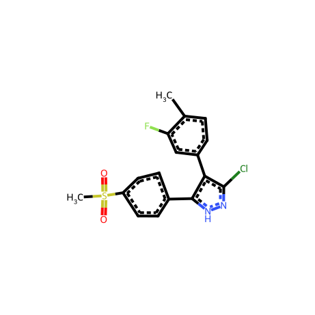 Cc1ccc(-c2c(Cl)n[nH]c2-c2ccc(S(C)(=O)=O)cc2)cc1F